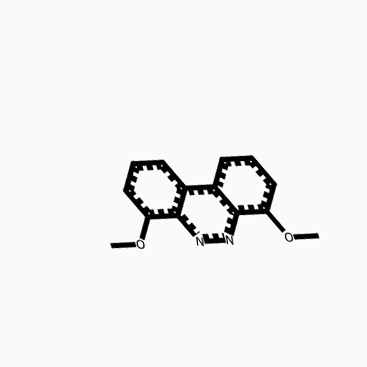 COc1cccc2c1nnc1c(OC)cccc12